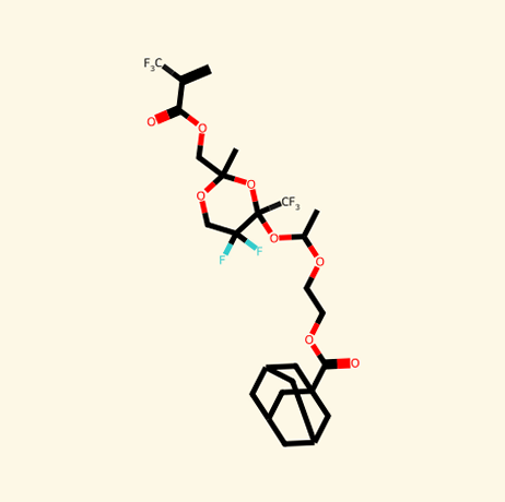 C=C(C(=O)OCC1(C)OCC(F)(F)C(OC(C)OCCOC(=O)C23CC4CC(CC(C4)C2)C3)(C(F)(F)F)O1)C(F)(F)F